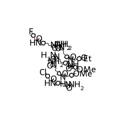 CCOc1ccc(CC(=O)Nc2ccc(CCC3COC(N)=N3)cc2)cc1.COc1ccc(C(=O)Nc2ccc(CCC3COC(N)=N3)cc2)cc1.COc1ccc(CC(=O)Nc2ccc(CCC3COC(N)=N3)cc2)cc1.NC1=NC(CCc2ccc(NC(=O)Cc3ccc(Cl)cc3)cc2)CO1.NC1=NC(CCc2ccc(NC(=O)Cc3ccc(F)cc3)cc2)CO1